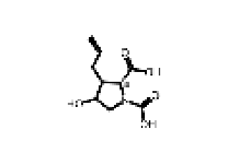 C=CCC1C(O)CN(C(=O)O)[C@@H]1C(=O)O